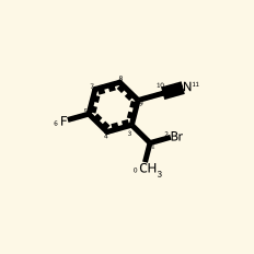 CC(Br)c1cc(F)ccc1C#N